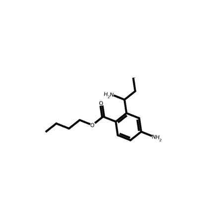 [CH2]CC(N)c1cc(N)ccc1C(=O)OCCCC